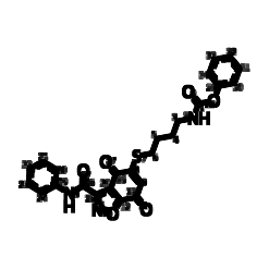 O=C(NCCCCSC1=CC(=O)c2onc(C(=O)Nc3ccccc3)c2C1=O)Oc1ccccc1